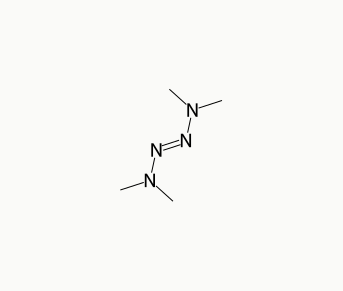 CN(C)/N=N/N(C)C